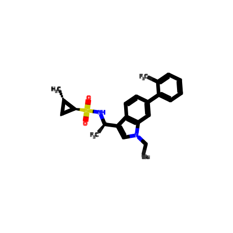 C[C@H]1C[C@@H]1S(=O)(=O)N[C@@H](c1cn(CC(C)(C)C)c2cc(-c3ccccc3C(F)(F)F)ccc12)C(F)(F)F